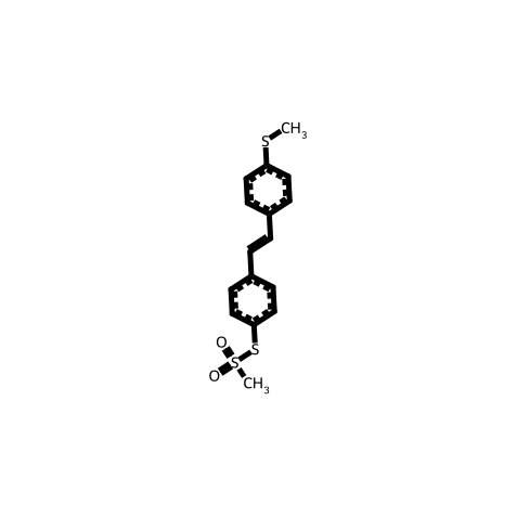 CSc1ccc(/C=C/c2ccc(SS(C)(=O)=O)cc2)cc1